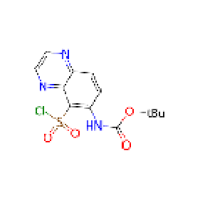 CC(C)(C)OC(=O)Nc1ccc2nccnc2c1S(=O)(=O)Cl